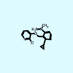 CN(N)c1cccc(C2CC2)c1COc1cccnc1Cl